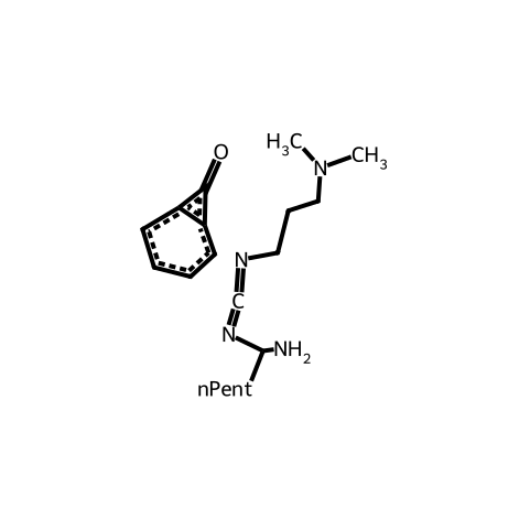 CCCCCC(N)N=C=NCCCN(C)C.O=c1c2ccccc12